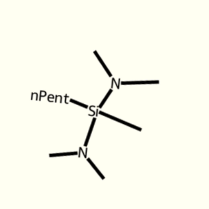 CCCCC[Si](C)(N(C)C)N(C)C